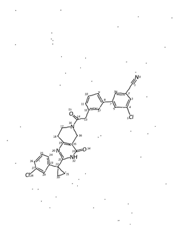 N#Cc1cc(Cl)cc(-c2cccc(CC(=O)N3CCc4nc(C5(c6cccc(Cl)c6)CC5)[nH]c(=O)c4C3)c2)c1